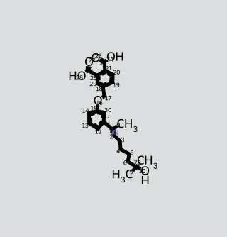 C/C(=C\CCCCC(C)(C)O)c1cccc(OCc2ccc(C(=O)O)c(C(=O)O)c2)c1